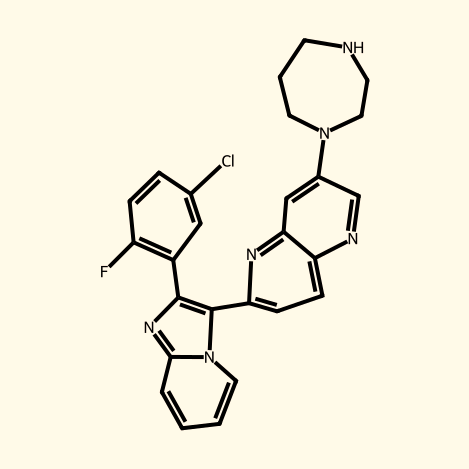 Fc1ccc(Cl)cc1-c1nc2ccccn2c1-c1ccc2ncc(N3CCCNCC3)cc2n1